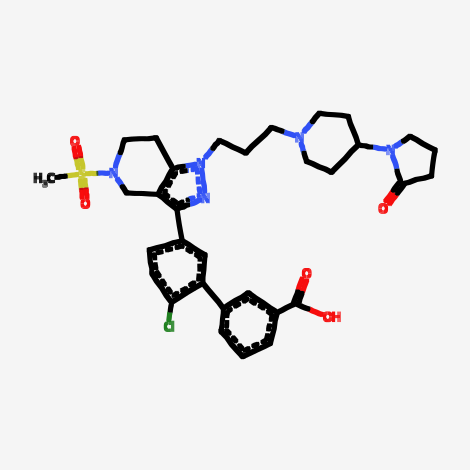 CS(=O)(=O)N1CCc2c(c(-c3ccc(Cl)c(-c4cccc(C(=O)O)c4)c3)nn2CCCN2CCC(N3CCCC3=O)CC2)C1